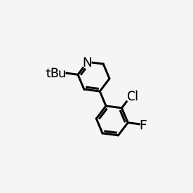 CC(C)(C)C1=NCCC(c2cccc(F)c2Cl)=C1